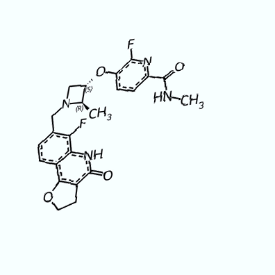 CNC(=O)c1ccc(O[C@H]2CN(Cc3ccc4c5c(c(=O)[nH]c4c3F)CCO5)[C@@H]2C)c(F)n1